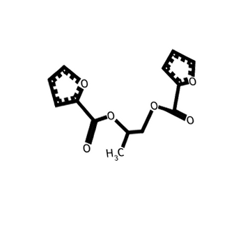 CC(COC(=O)c1ccco1)OC(=O)c1ccco1